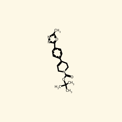 Cc1nnc(-c2ccc(C3=CCN(C(=O)OC(C)(C)C)CC3)cc2)o1